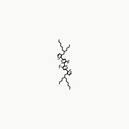 CCCCCCC(CCCC)Cc1ccsc1-c1cc(F)c(-c2sc(-c3sccc3CC(CCCC)CCCCCC)cc2F)s1